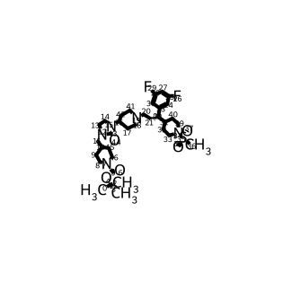 CC(C)(C)OC(=O)N1CCC(CN2CCN(C3CCN(CC[C@@H](c4cc(F)cc(F)c4)C4CCN(S(C)(=O)=O)CC4)CC3)C2=O)CC1